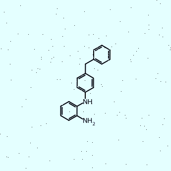 Nc1ccccc1Nc1ccc(Cc2ccccc2)cc1